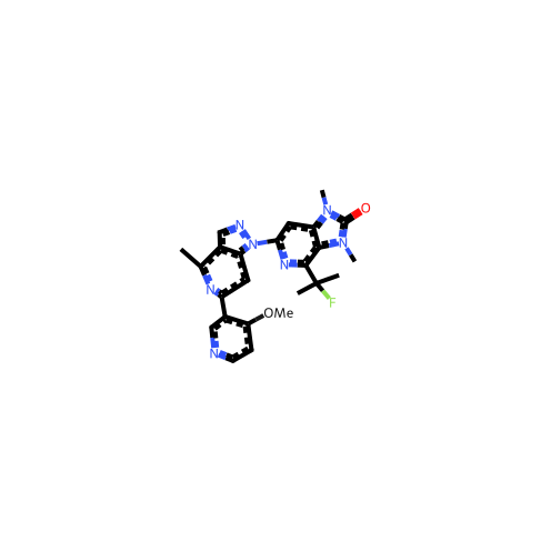 COc1ccncc1-c1cc2c(cnn2-c2cc3c(c(C(C)(C)F)n2)n(C)c(=O)n3C)c(C)n1